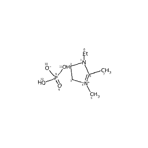 CCN1CC[N+](C)=C1C.O=P([O-])(O)O